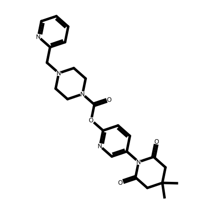 CC1(C)CC(=O)N(c2ccc(OC(=O)N3CCN(Cc4ccccn4)CC3)nc2)C(=O)C1